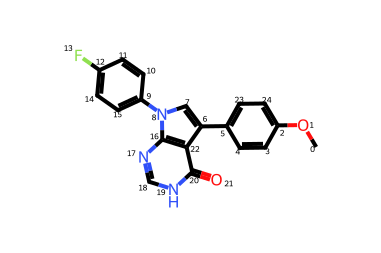 COc1ccc(-c2cn(-c3ccc(F)cc3)c3nc[nH]c(=O)c23)cc1